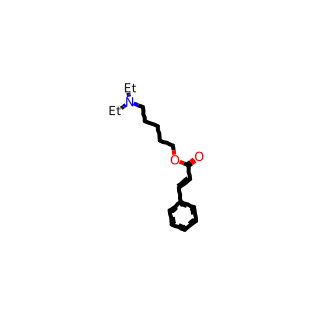 CCN(CC)CCCCCOC(=O)C=Cc1ccccc1